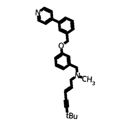 CN(CC=CC#CC(C)(C)C)Cc1cccc(OCc2cccc(-c3ccncc3)c2)c1